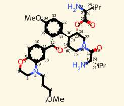 COCCCN1CCOc2ccc(CO[C@H]3CN(C(=O)[C@@H](N)C(C)C)C[C@@H](OC(=O)[C@@H](N)C(C)C)[C@@H]3c3ccc(OC)cc3)cc21